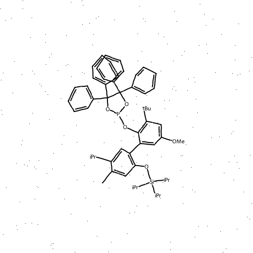 COc1cc(-c2cc(C(C)C)c(C)cc2O[Si](C(C)C)(C(C)C)C(C)C)c(OP2OC(c3ccccc3)(c3ccccc3)C(c3ccccc3)(c3ccccc3)O2)c(C(C)(C)C)c1